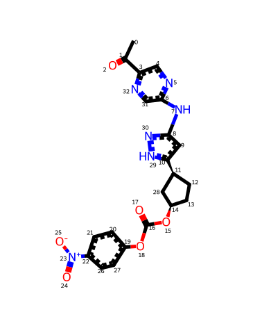 CC(=O)c1cnc(Nc2cc([C@H]3CC[C@@H](OC(=O)Oc4ccc([N+](=O)[O-])cc4)C3)[nH]n2)cn1